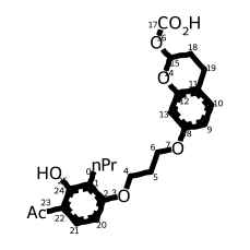 CCCc1c(OCCCOc2ccc3c(c2)OC(OC(=O)O)CC3)ccc(C(C)=O)c1O